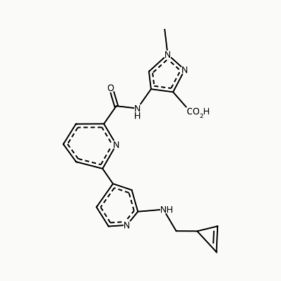 Cn1cc(NC(=O)c2cccc(-c3ccnc(NCC4C=C4)c3)n2)c(C(=O)O)n1